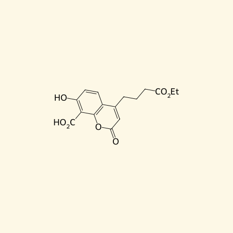 CCOC(=O)CCCc1cc(=O)oc2c(C(=O)O)c(O)ccc12